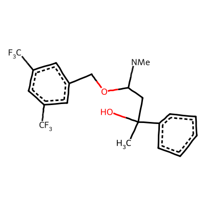 CNC(CC(C)(O)c1ccccc1)OCc1cc(C(F)(F)F)cc(C(F)(F)F)c1